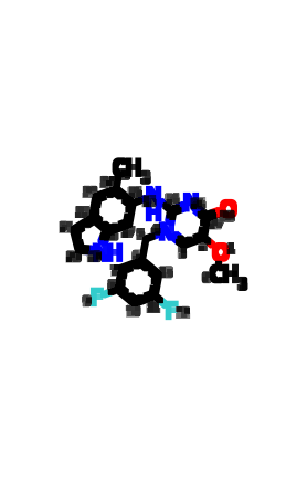 COc1cn(Cc2cc(F)cc(F)c2)c(Nc2cc3[nH]ccc3cc2C)nc1=O